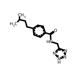 CC(C)CCc1ccc(C(=O)NCc2nn[nH]n2)cc1